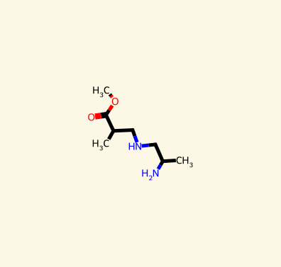 COC(=O)C(C)CNCC(C)N